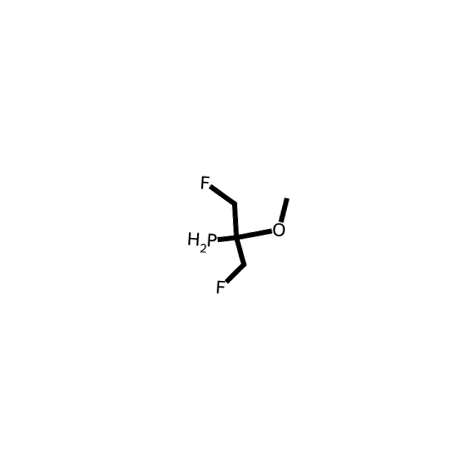 COC(P)(CF)CF